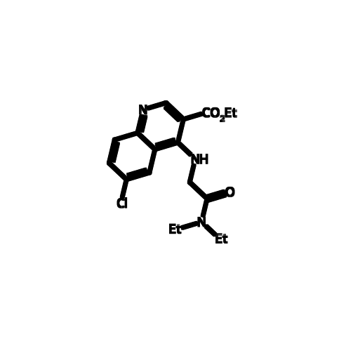 CCOC(=O)c1cnc2ccc(Cl)cc2c1NCC(=O)N(CC)CC